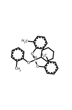 Cc1ccccc1O[PH](Oc1ccccc1C)(Oc1ccccc1C)C1CCCCC1